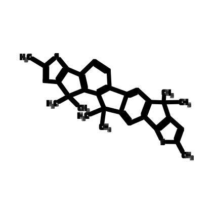 Cc1cc2c(s1)-c1cc3c(cc1C2(C)C)-c1ccc2c(c1C3(C)C)C(C)(C)c1cc(C)sc1-2